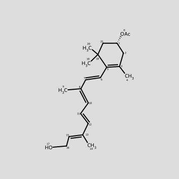 CC(=O)O[C@@H]1CC(C)=C(C=CC(C)=CC=CC(C)=CCO)C(C)(C)C1